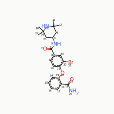 CC1(C)CC(NC(=O)c2ccc(Oc3ccccc3C(N)=O)c(Br)c2)CC(C)(C)N1